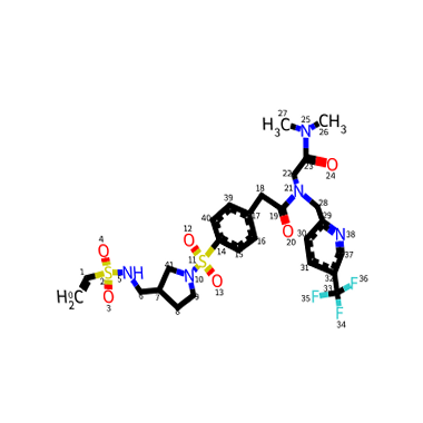 C=CS(=O)(=O)NCC1CCN(S(=O)(=O)c2ccc(CC(=O)N(CC(=O)N(C)C)Cc3ccc(C(F)(F)F)cn3)cc2)C1